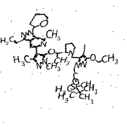 C=Cc1nn(C2CCCCO2)c2c(C)nc(-c3c(C)nn(C)c3OC(C)[C@H]3CCCN3Cc3c(I)c(OCC)nn3CCO[Si](C)(C)C(C)(C)C)cc12